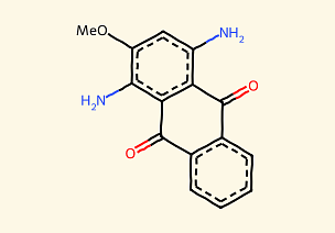 COc1cc(N)c2c(c1N)C(=O)c1ccccc1C2=O